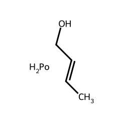 CC=CCO.[PoH2]